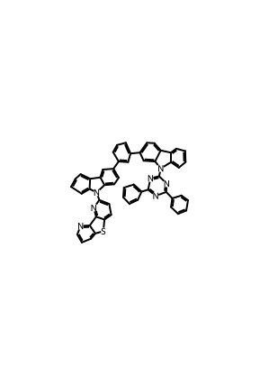 c1ccc(-c2nc(-c3ccccc3)nc(-n3c4ccccc4c4ccc(-c5cccc(-c6ccc7c(c6)c6ccccc6n7-c6ccc7sc8cccnc8c7n6)c5)cc43)n2)cc1